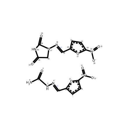 NC(=O)N/N=C/c1ccc([N+](=O)[O-])o1.O=C1CN(/N=C/c2ccc([N+](=O)[O-])o2)C(=O)N1